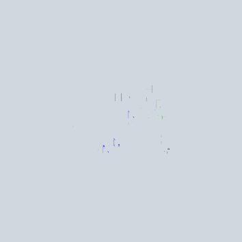 CC1(C)N=C(c2cc3ccccc3nn2)c2ccc(Cl)cc2C1(F)F